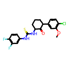 COc1cc(C2CCCC(NC(=S)Nc3ccc(F)c(F)c3)C2=O)ccc1Cl